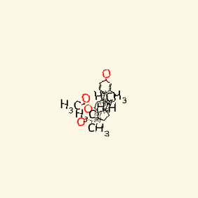 CC(=O)OC1C[C@H]2[C@@H](CCC3=CC(=O)C=C[C@@]32C)[C@@H]2CC[C@H](C(C)C=O)[C@@]12C